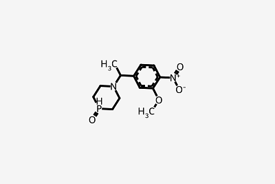 COc1cc(C(C)N2CC[PH](=O)CC2)ccc1[N+](=O)[O-]